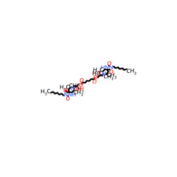 CCCCCCCCN1C(=O)NC2(CC(C)(C)N(CC(O)COC(=O)CCCCC(=O)OCC(O)CN3C(C)(C)CC4(CC3(C)C)NC(=O)N(CCCCCCCC)C4=O)C(C)(C)C2)C1=O